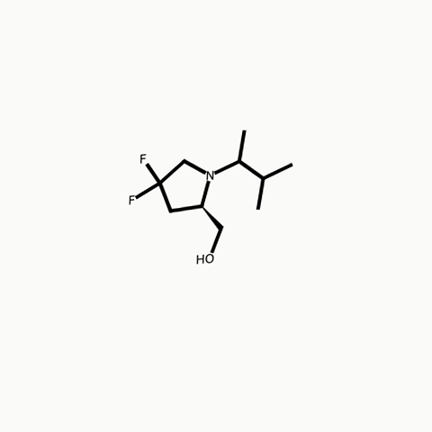 CC(C)C(C)N1CC(F)(F)C[C@@H]1CO